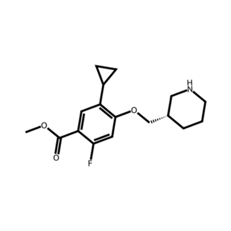 COC(=O)c1cc(C2CC2)c(OC[C@H]2CCCNC2)cc1F